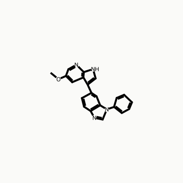 COc1cnc2[nH]cc(-c3ccc4ncn(-c5ccccc5)c4c3)c2c1